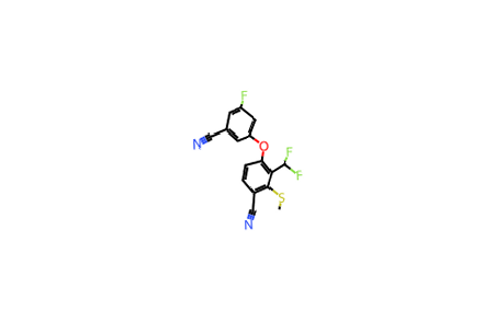 CSc1c(C#N)ccc(Oc2cc(F)cc(C#N)c2)c1C(F)F